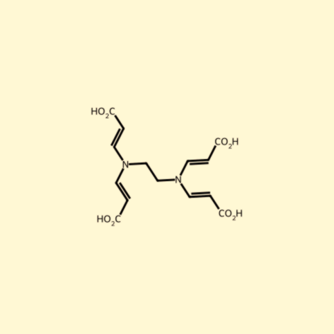 O=C(O)C=CN(C=CC(=O)O)CCN(C=CC(=O)O)C=CC(=O)O